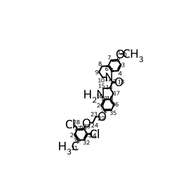 COc1ccc2c(c1)CCCN2C(=O)C(CN)Cc1ccc(OCCOc2c(Cl)cc(C)cc2Cl)cc1